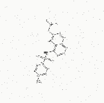 CN(C)Cc1ccc2cccc(NS(=O)(=O)c3ccc([N+](=O)[O-])cc3)c2n1